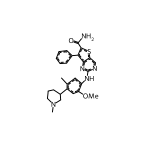 COc1cc(C2CCCN(C)C2)c(C)cc1Nc1ncc2sc(C(N)=O)c(-c3ccccc3)c2n1